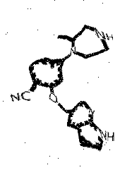 CC1CNCCN1c1ccc(C#N)c(Oc2cnc3[nH]ccc3c2)c1